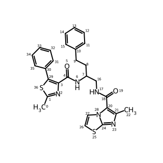 Cc1nc(C(=O)NC(CCc2ccccc2)CNC(=O)c2c(C)nc3sccn23)c(-c2ccccc2)s1